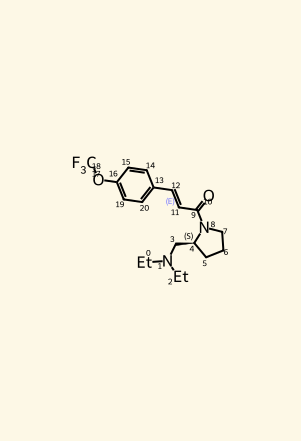 CCN(CC)C[C@@H]1CCCN1C(=O)/C=C/c1ccc(OC(F)(F)F)cc1